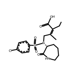 CCC(C(=O)O)=C(C)CN([C@@H]1CCCCNC1=O)S(=O)(=O)c1ccc(Cl)cc1